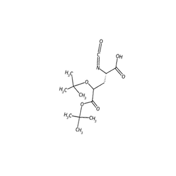 CC(C)(C)OC(=O)C(C[C@H](N=C=O)C(=O)O)OC(C)(C)C